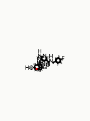 O=C(NCc1ccc(F)cc1)c1cnc2[nH]cnc2c1N[C@H]1[C@@H]2CC3C[C@H]1C[C@](O)(C3)C2